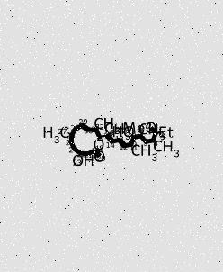 CC[C@H](OC)[C@@H](C)C[C@H](C)[C@@H](O)[C@@H](C)/C=C/C=C(\C)[C@H]1OC(=O)C[C@H](O)CC[C@H](C)C/C=C/[C@@H]1C